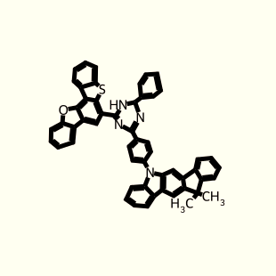 CC1(C)c2ccccc2-c2cc3c(cc21)c1ccccc1n3-c1ccc(C2=NC(c3ccccc3)NC(c3cc4c5ccccc5oc4c4c3sc3ccccc34)=N2)cc1